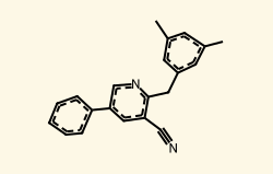 Cc1cc(C)cc(Cc2ncc(-c3ccccc3)cc2C#N)c1